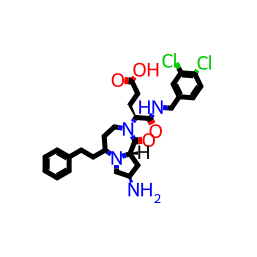 N[C@@H]1C[C@H]2C(=O)N([C@@H](CCC(=O)O)C(=O)NCc3ccc(Cl)c(Cl)c3)CCC(CCc3ccccc3)N2C1